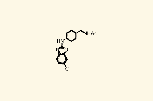 CC(=O)NC[C@H]1CC[C@H](Nc2nc3ccc(Cl)cc3o2)CC1